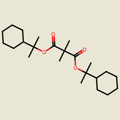 CC(C)(C(=O)OC(C)(C)C1CCCCC1)C(=O)OC(C)(C)C1CCCCC1